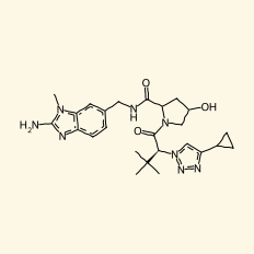 Cn1c(N)nc2ccc(CNC(=O)C3CC(O)CN3C(=O)[C@@H](n3cc(C4CC4)nn3)C(C)(C)C)cc21